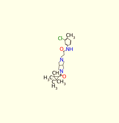 Cc1ccc(NC(=O)CCN2CC3CN(C(=O)C4C(C)(C)C4(C)C)CC3C2)cc1Cl